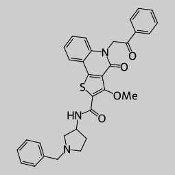 COc1c(C(=O)NC2CCN(Cc3ccccc3)C2)sc2c1c(=O)n(CC(=O)c1ccccc1)c1ccccc21